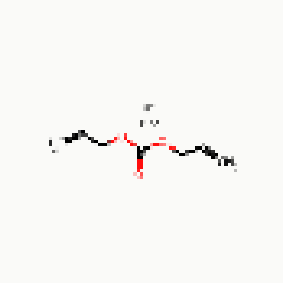 C=CCOC(=O)OCC=C.[H-].[Na+]